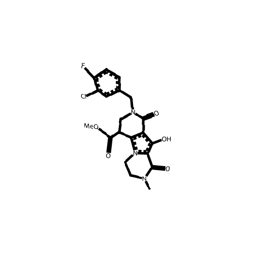 COC(=O)C1CN(Cc2ccc(F)c(Cl)c2)C(=O)c2c(O)c3n(c21)CCN(C)C3=O